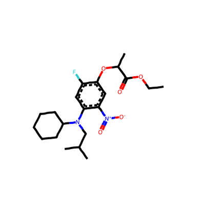 CCOC(=O)C(C)Oc1cc([N+](=O)[O-])c(N(CC(C)C)C2CCCCC2)cc1F